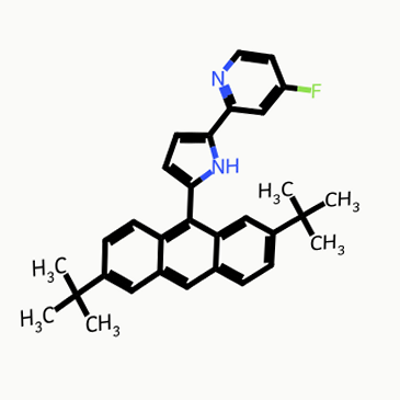 CC(C)(C)c1ccc2c(-c3ccc(-c4cc(F)ccn4)[nH]3)c3cc(C(C)(C)C)ccc3cc2c1